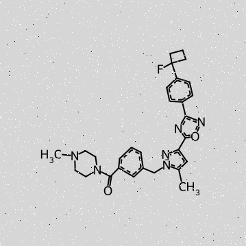 Cc1cc(-c2nc(-c3ccc(C4(F)CCC4)cc3)no2)nn1Cc1cccc(C(=O)N2CCN(C)CC2)c1